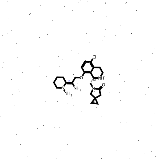 N/C(COc1ccc(Cl)c2c1[C@@H](CN1CC3(CC3)CC1=O)NCC2)=C1/CCCCN1N